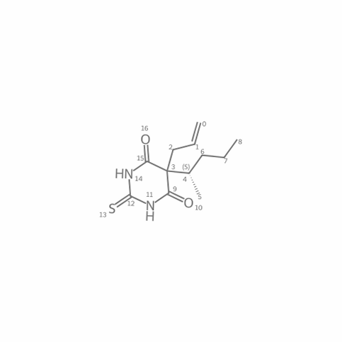 C=CCC1([C@@H](C)CCC)C(=O)NC(=S)NC1=O